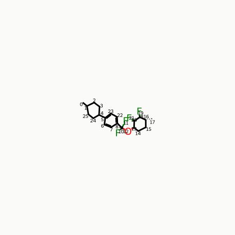 CC1CCC(c2ccc(C(F)(F)OC3CC[C@@H](C)C(F)C3F)cc2)CC1